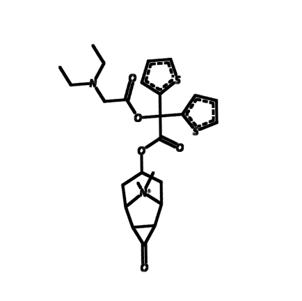 CCN(CC)CC(=O)OC(C(=O)OC1CC2C3C(=O)C3C(C1)[N+]2(C)C)(c1cccs1)c1cccs1